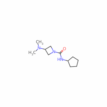 CN(C)C1CN(C(=O)NC2CCCC2)C1